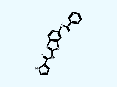 O=C(Nc1ccc2nc(NC(=O)c3ccc[nH]3)sc2c1)c1ccccc1